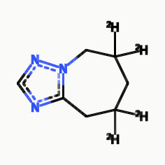 [2H]C1([2H])Cc2ncnn2CC([2H])([2H])C1